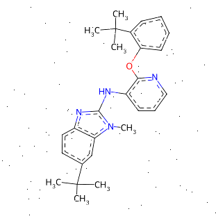 Cn1c(Nc2cccnc2Oc2ccccc2C(C)(C)C)nc2ccc(C(C)(C)C)cc21